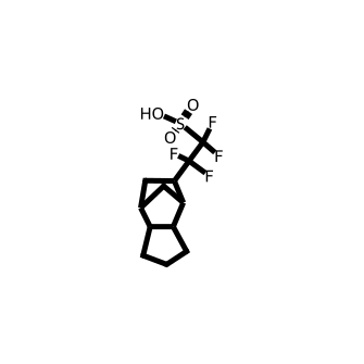 O=S(=O)(O)C(F)(F)C(F)(F)C1CC2CC1C1CCCC21